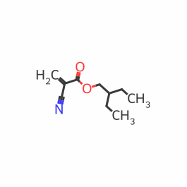 C=C(C#N)C(=O)OCC(CC)CC